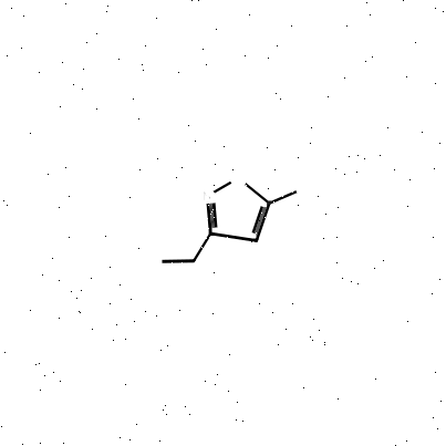 CCc1cc(Cl)on1